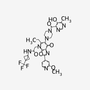 CCc1c(N2CCN(C(=O)c3ncnc(C)c3O)CC2)c(=O)c2nc(-c3ccnc(OC)c3)oc2n1CC(=O)NC12CC(C(F)(F)F)(C1)C2